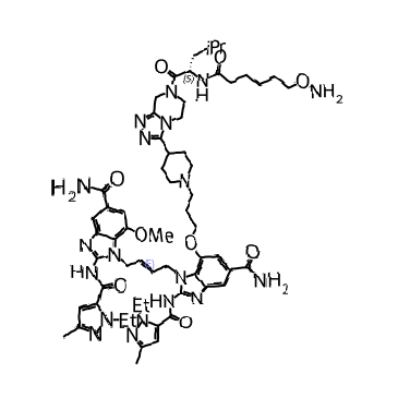 CCn1nc(C)cc1C(=O)Nc1nc2cc(C(N)=O)cc(OC)c2n1C/C=C/Cn1c(NC(=O)c2cc(C)nn2CC)nc2cc(C(N)=O)cc(OCCCN3CCC(c4nnc5n4CCN(C(=O)[C@H](CC(C)C)NC(=O)CCCCCON)C5)CC3)c21